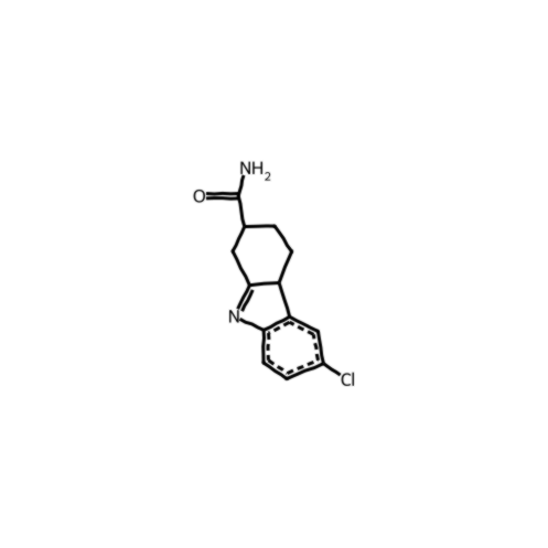 NC(=O)C1CCC2C(=Nc3ccc(Cl)cc32)C1